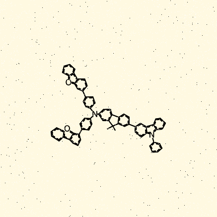 CC1(C)c2cc(-c3ccc4c(c3)c3ccccc3n4-c3ccccc3)ccc2-c2ccc(N(c3ccc(-c4ccc5c(c4)oc4ccccc45)cc3)c3ccc(-c4cccc5c4oc4ccccc45)cc3)cc21